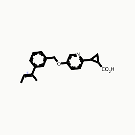 C/C=C(\C)c1cccc(COc2ccc(C3CC3C(=O)O)nc2)c1